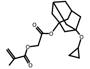 C=C(C)C(=O)OCC(=O)OC12CC3CC(C1)CC(OC1CC1)(C3)C2